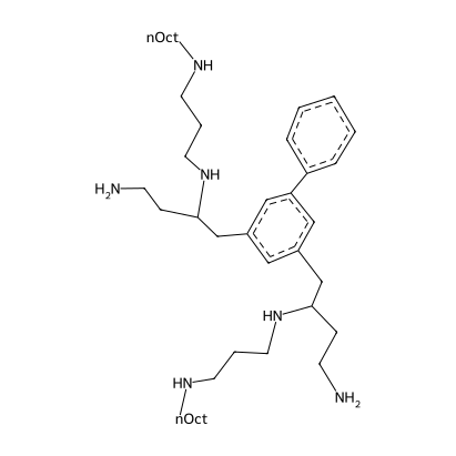 CCCCCCCCNCCCNC(CCN)Cc1cc(CC(CCN)NCCCNCCCCCCCC)cc(-c2ccccc2)c1